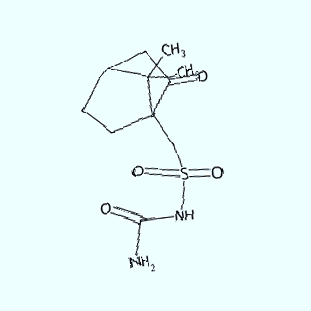 CC1(C)C2CCC1(CS(=O)(=O)NC(N)=O)C(=O)C2